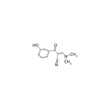 CN(C)C=C(C#N)C(=O)c1cccc(O)c1